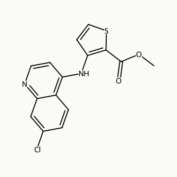 COC(=O)c1sccc1Nc1ccnc2cc(Cl)ccc12